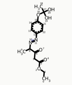 CCOC(=O)CC(=O)C(C)/N=N/c1ccc(OC(C)(O)O)cc1